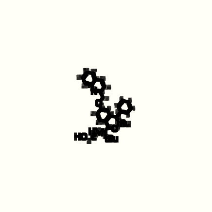 CC(C)(C)C(c1ccccc1)c1cc(OCc2ccc3ccccc3n2)ccc1C(=O)N(NC(=O)O)C(C)(C)C